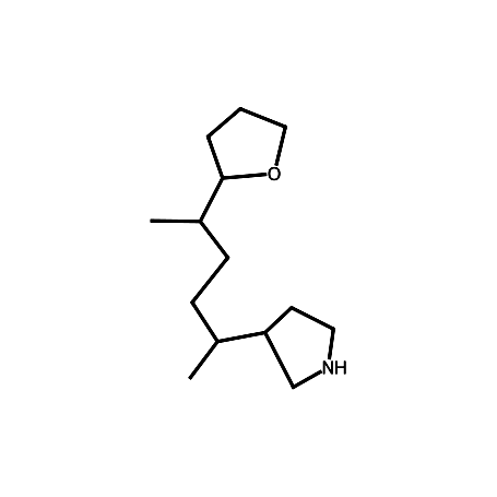 CC(CCC(C)C1CCCO1)C1CCNC1